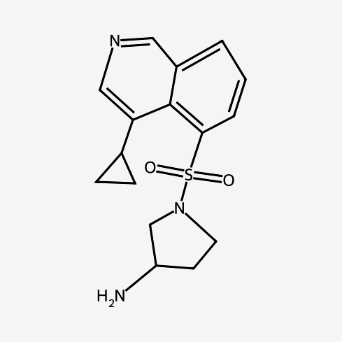 NC1CCN(S(=O)(=O)c2cccc3cncc(C4CC4)c23)C1